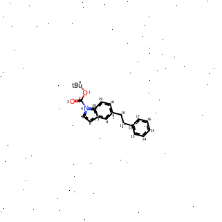 CC(C)(C)OC(=O)n1ccc2cc(CCc3ccccc3)ccc21